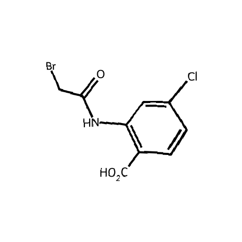 O=C(CBr)Nc1cc(Cl)ccc1C(=O)O